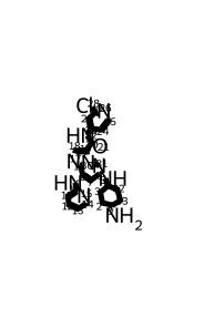 NC1CCC(Nc2cc(Nc3ccccn3)c3ncc(C(=O)Nc4ccnc(Cl)c4)n3n2)CC1